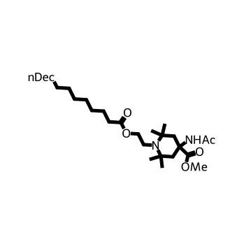 CCCCCCCCCCCCCCCCCC(=O)OCCN1C(C)(C)CC(NC(C)=O)(C(=O)OC)CC1(C)C